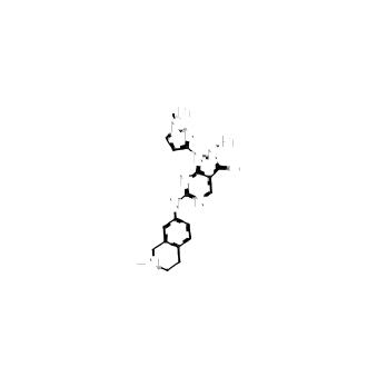 CC(C)n1c(=O)c2cnc(Nc3ccc4c(c3)CNCC4)nc2n1-c1ccn(C(C)(C)C)n1